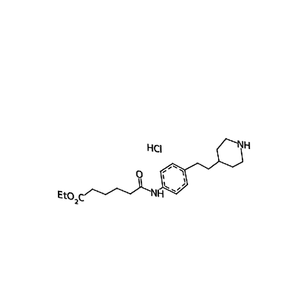 CCOC(=O)CCCCC(=O)Nc1ccc(CCC2CCNCC2)cc1.Cl